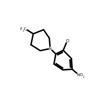 O=[N+]([O-])c1ccc(N2CCC(C(F)(F)F)CC2)c(Cl)c1